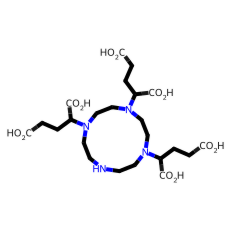 O=C(O)CCC(C(=O)O)N1CCNCCN(C(CCC(=O)O)C(=O)O)CCN(C(CCC(=O)O)C(=O)O)CC1